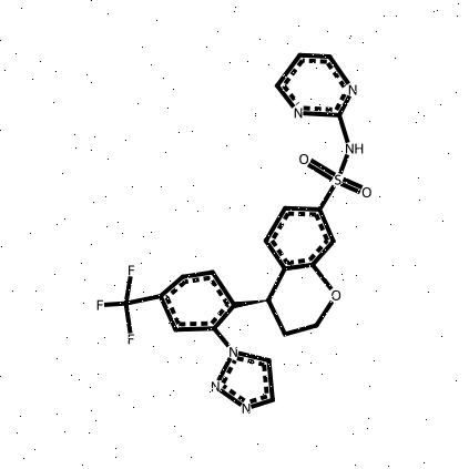 O=S(=O)(Nc1ncccn1)c1ccc2c(c1)OCC[C@H]2c1ccc(C(F)(F)F)cc1-n1ccnn1